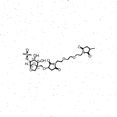 CC1CC(=O)N(CCOCCOCCN2C(=O)CC(OC[C@@]34CO[C@H](O3)[C@H](N=S(C)(C)=O)[C@@H](O)[C@H]4O)C2=O)C1=O